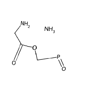 N.NCC(=O)OCP=O